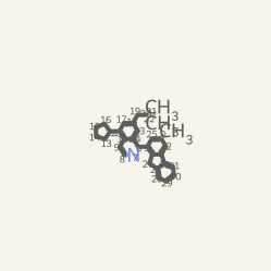 Cc1cc2c(c(-c3nccc4c(C5CCCC5)cc(CC(C)C)cc34)c1)Cc1ccccc1-2